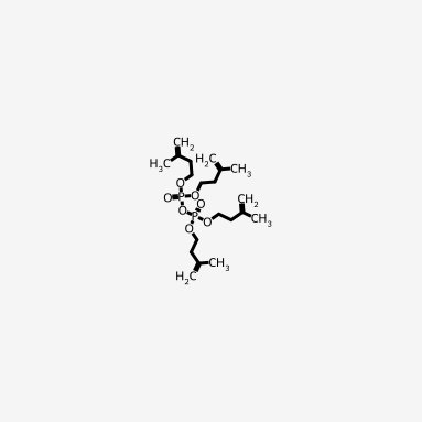 C=C(C)CCOP(=O)(OCCC(=C)C)OP(=O)(OCCC(=C)C)OCCC(=C)C